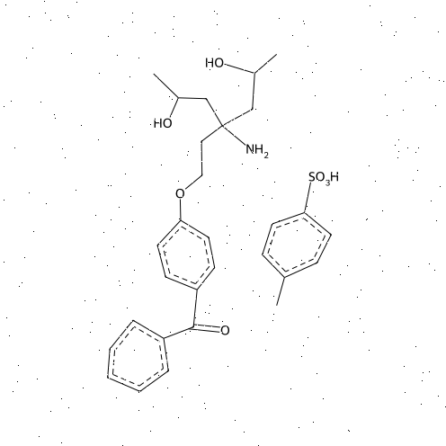 CC(O)CC(N)(CCOc1ccc(C(=O)c2ccccc2)cc1)CC(C)O.Cc1ccc(S(=O)(=O)O)cc1